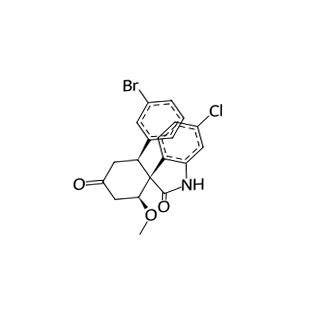 CO[C@H]1CC(=O)C[C@@H](c2cccc(Br)c2)[C@]12C(=O)Nc1cc(Cl)ccc12